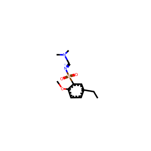 CCc1ccc(OC)c(S(=O)(=O)/N=C/N(C)C)c1